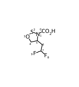 O=C(O)N1SOCC1CC(F)F